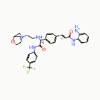 Nc1ccccc1NC(=O)/C=C/c1ccc([C@H](NCCN2CC3CC2CO3)C(=O)Nc2ccc(C(F)(F)F)cc2)cc1